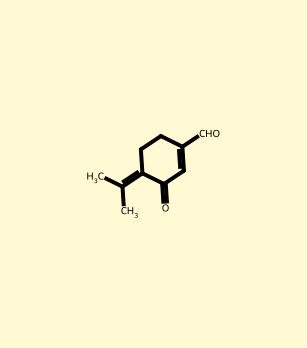 CC(C)=C1CCC(C=O)=CC1=O